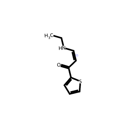 CCN/C=C\C(=O)c1cccs1